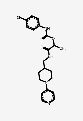 CC(OC(=O)Nc1ccc(Cl)cc1)C(=O)NCC1CCN(c2ccncc2)CC1